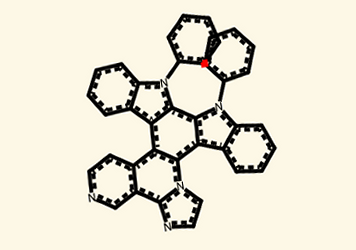 c1ccc(-n2c3ccccc3c3c4c5ccncc5c5nccn5c4c4c5ccccc5n(-c5ccccc5)c4c32)cc1